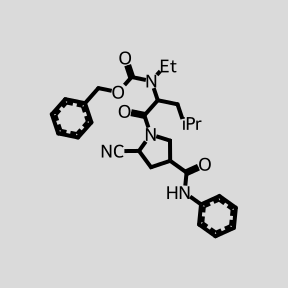 CCN(C(=O)OCc1ccccc1)C(CC(C)C)C(=O)N1CC(C(=O)Nc2ccccc2)CC1C#N